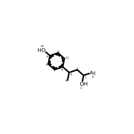 CC(=O)C(O)CC(C)c1ccc(O)cc1